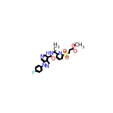 COC(=O)CCS(=O)(=O)c1cccc(C(C)NC(=O)c2cncc3c2cnn3-c2ccc(F)cc2)n1